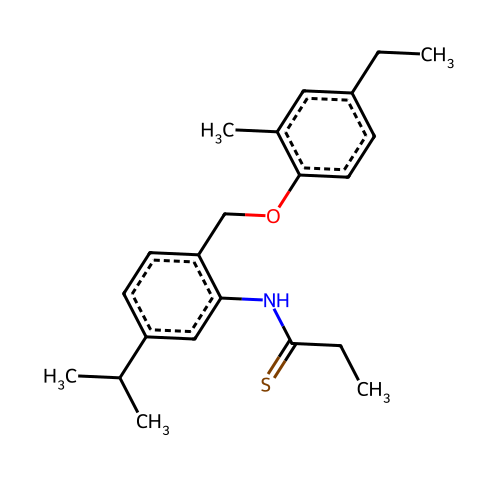 CCC(=S)Nc1cc(C(C)C)ccc1COc1ccc(CC)cc1C